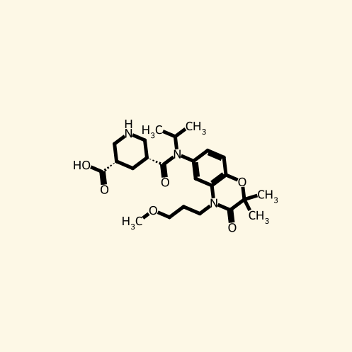 COCCCN1C(=O)C(C)(C)Oc2ccc(N(C(=O)[C@H]3CNC[C@@H](C(=O)O)C3)C(C)C)cc21